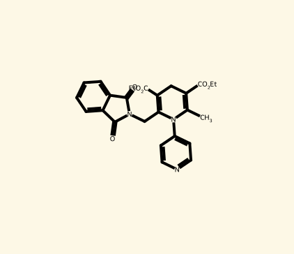 CCOC(=O)C1=C(C)N(c2ccncc2)C(CN2C(=O)c3ccccc3C2=O)=C(C(=O)OCC)C1